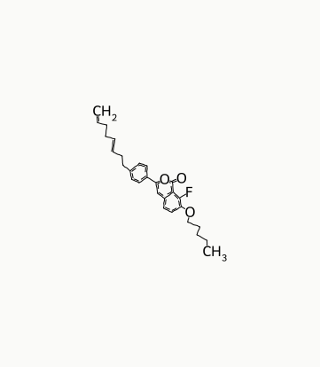 C=CCC/C=C/CCc1ccc(-c2cc3ccc(OCCCCC)c(F)c3c(=O)o2)cc1